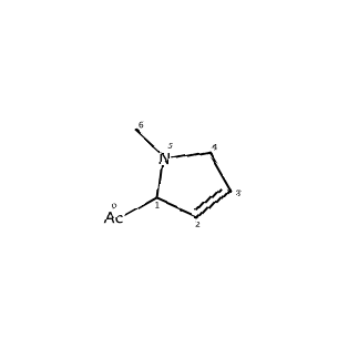 CC(=O)C1C=CCN1C